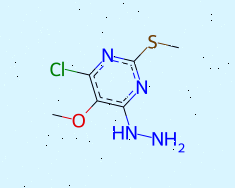 COc1c(Cl)nc(SC)nc1NN